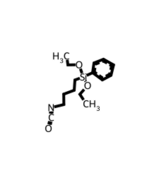 CCO[Si](CCCCN=C=O)(OCC)c1ccccc1